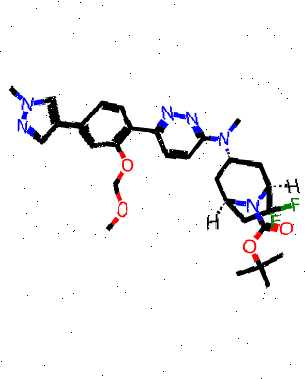 COCOc1cc(-c2cnn(C)c2)ccc1-c1ccc(N(C)[C@H]2C[C@@H]3CC(F)(F)[C@H](C2)N3C(=O)OC(C)(C)C)nn1